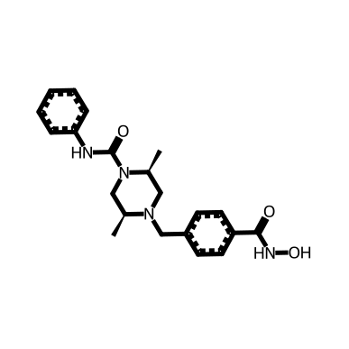 C[C@H]1CN(C(=O)Nc2ccccc2)[C@@H](C)CN1Cc1ccc(C(=O)NO)cc1